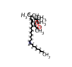 CCCCCCCC/C=C\CCCCCCC[CH2][Al-]([CH2]C(C)C)([CH2]C(C)C)[C](=O)CC(C)=O